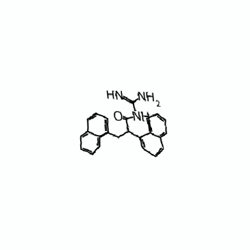 N=C(N)NC(=O)C(Cc1cccc2ccccc12)c1cccc2ccccc12